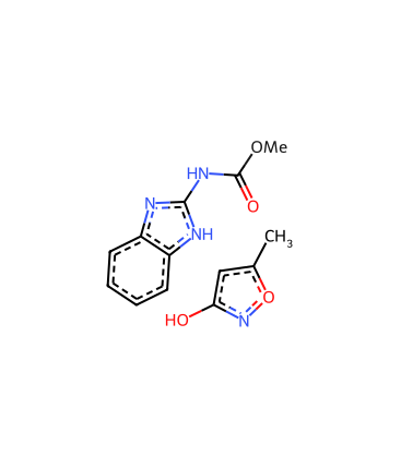 COC(=O)Nc1nc2ccccc2[nH]1.Cc1cc(O)no1